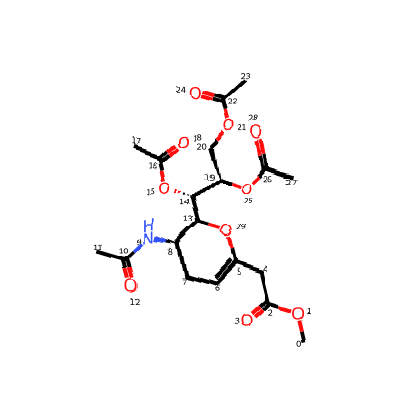 COC(=O)CC1=CC[C@@H](NC(C)=O)C([C@H](OC(C)=O)[C@@H](COC(C)=O)OC(C)=O)O1